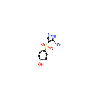 CC(C)c1[nH]ncc1S(=O)(=O)c1ccc(O)cc1